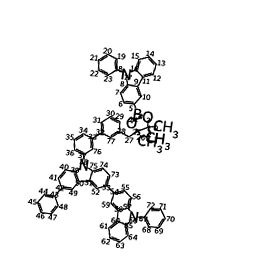 CC1(C)OB(c2ccc3c(c2)c2ccccc2n3-c2ccccc2)OC1(C)Cc1cccc(-c2cccc(-n3c4ccc(-c5ccccc5)cc4c4cc(-c5ccc6c(c5)c5ccccc5n6-c5ccccc5)ccc43)c2)c1